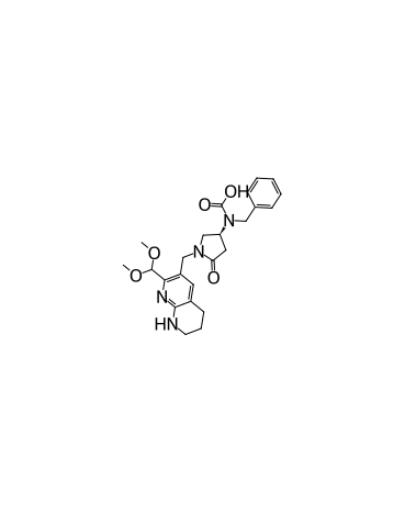 COC(OC)c1nc2c(cc1CN1C[C@@H](N(Cc3ccccc3)C(=O)O)CC1=O)CCCN2